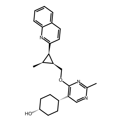 Cc1ncc([C@H]2CC[C@@H](O)CC2)c(OC[C@H]2[C@@H](C)[C@H]2c2ccc3ccccc3n2)n1